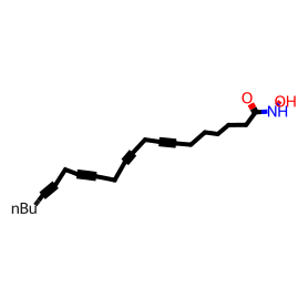 CCCCC#CCC#CCC#CCC#CCCCCCC(=O)NO